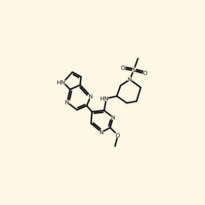 COc1ncc(-c2cnc3[nH]ccc3n2)c(NC2CCCN(S(C)(=O)=O)C2)n1